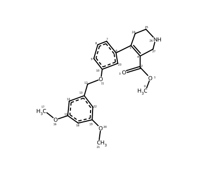 COC(=O)C1=C(c2cccc(OCc3cc(OC)cc(OC)c3)c2)CCNC1